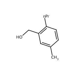 CCCc1ccc(C)cc1CO